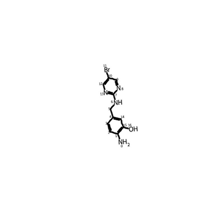 Nc1ccc(CNc2ncc(Br)cn2)cc1O